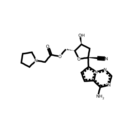 N#C[C@]1(c2ccc3c(N)ncnn23)C[C@H](O)[C@@H](COC(=O)CN2CCCC2)O1